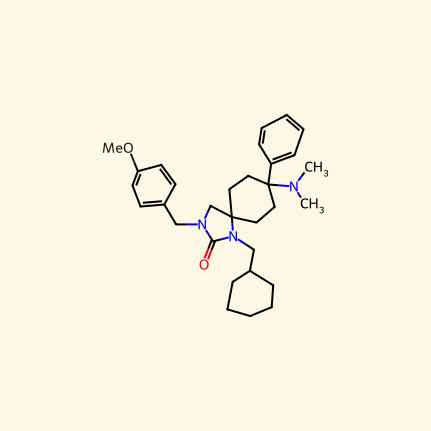 COc1ccc(CN2CC3(CCC(c4ccccc4)(N(C)C)CC3)N(CC3CCCCC3)C2=O)cc1